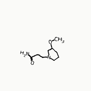 COC1CCCN(C[CH]C(N)=O)C1